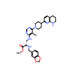 CCc1c(NC[C@H](NCc2ccc3c(c2)OCO3)C(=O)OC(C)(C)C)ncnc1N1CCC(c2ccc3c(n2)NCCC3)CC1